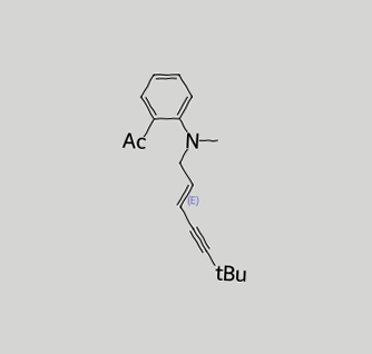 CC(=O)c1ccccc1N(C)C/C=C/C#CC(C)(C)C